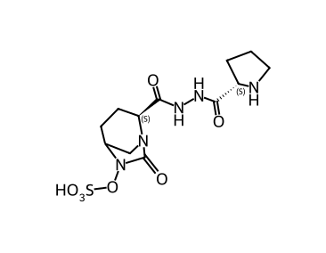 O=C(NNC(=O)[C@@H]1CCC2CN1C(=O)N2OS(=O)(=O)O)[C@@H]1CCCN1